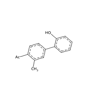 CC(=O)c1ccc(-c2ccccc2O)cc1C